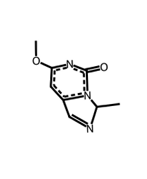 COc1cc2n(c(=O)n1)C(C)N=C2